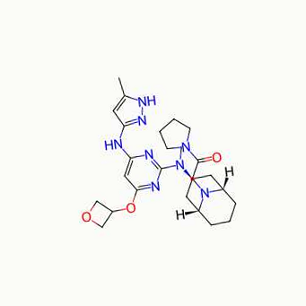 Cc1cc(Nc2cc(OC3COC3)nc(N(C)[C@@H]3C[C@H]4CCC[C@@H](C3)N4CC(=O)N3CCCC3)n2)n[nH]1